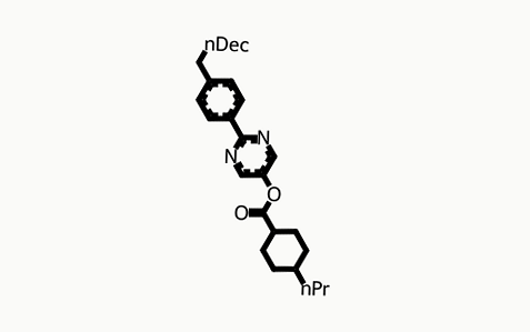 CCCCCCCCCCCc1ccc(-c2ncc(OC(=O)C3CCC(CCC)CC3)cn2)cc1